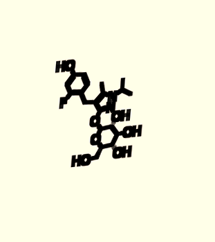 Cc1c(Cc2ccc(O)cc2F)c(OC2O[C@H](CO)[C@@H](O)[C@H](O)[C@H]2O)nn1C(C)C